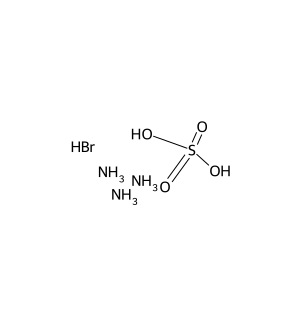 Br.N.N.N.O=S(=O)(O)O